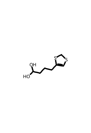 OC(O)CCCC1=CSCS1